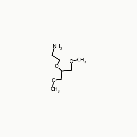 COCC(COC)OCCN